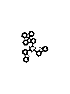 c1ccc(C2(c3ccccc3)c3ccccc3-c3c(-c4nc(-c5cccc6c5oc5ccccc56)nc(-c5cccc6c5oc5ccccc56)n4)cccc32)cc1